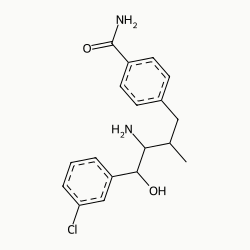 CC(Cc1ccc(C(N)=O)cc1)C(N)C(O)c1cccc(Cl)c1